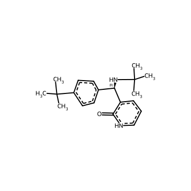 CC(C)(C)N[C@H](c1ccc(C(C)(C)C)cc1)c1ccc[nH]c1=O